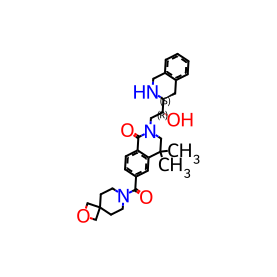 CC1(C)CN(C[C@@H](O)[C@@H]2Cc3ccccc3CN2)C(=O)c2ccc(C(=O)N3CCC4(CC3)COC4)cc21